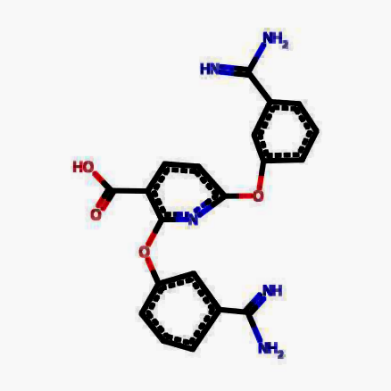 N=C(N)c1cccc(Oc2ccc(C(=O)O)c(Oc3cccc(C(=N)N)c3)n2)c1